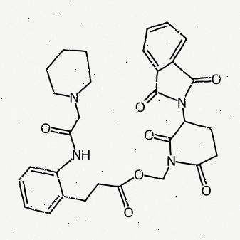 O=C(CN1CCCCC1)Nc1ccccc1CCC(=O)OCN1C(=O)CCC(N2C(=O)c3ccccc3C2=O)C1=O